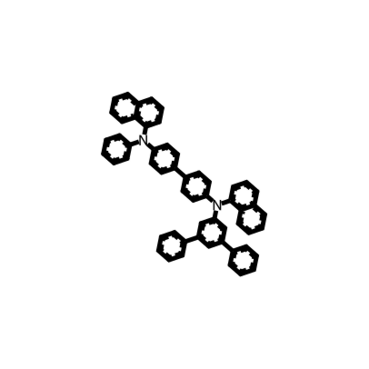 c1ccc(-c2cc(-c3ccccc3)cc(N(c3ccc(-c4ccc(N(c5ccccc5)c5cccc6ccccc56)cc4)cc3)c3cccc4ccccc34)c2)cc1